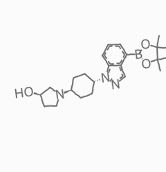 CC1(C)OB(c2cccc3c2cnn3[C@H]2CC[C@H](N3CC[C@@H](O)C3)CC2)OC1(C)C